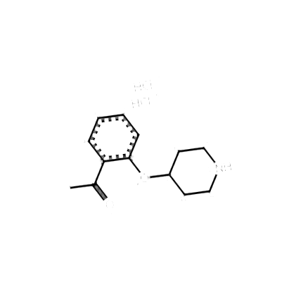 CC(=O)c1ccccc1OC1CCNCC1.Cl.Cl